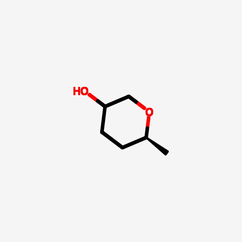 C[C@H]1CCC(O)CO1